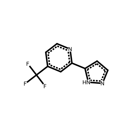 FC(F)(F)c1ccnc(-c2ccn[nH]2)c1